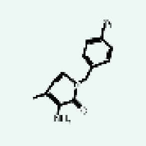 Cc1ccn(Cc2ccc(C(C)C)cc2)c(=O)c1N